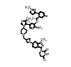 Cc1ncn(C2CCN(CC3CN(c4ccc5c(N6CCC(=O)NC6=O)nn(C)c5c4)C3)CC2)c1-c1cnc(N)c(O[C@H](C)c2cc(F)ccc2-c2ccn(C)n2)c1